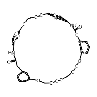 O=C1Cc2cccc(c2)OCCCCCCCOc2cccc(c2)CC(=O)Nc2ccc(nn2)CCCCc2ccc(nn2)N1